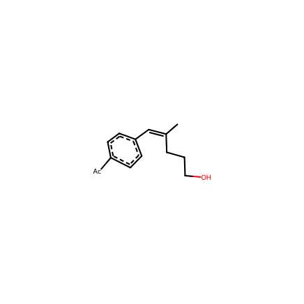 CC(=O)c1ccc(/C=C(/C)CCCO)cc1